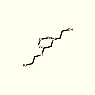 CCC(C)OC(C)CC.OCCOCCOCCO